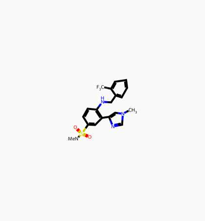 CNS(=O)(=O)c1ccc(NCc2ccccc2C(F)(F)F)c(-c2cn(C)cn2)c1